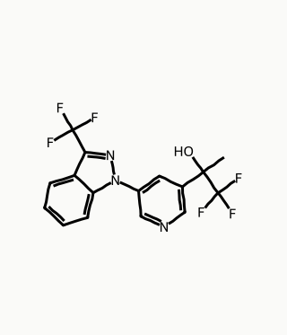 CC(O)(c1cncc(-n2nc(C(F)(F)F)c3ccccc32)c1)C(F)(F)F